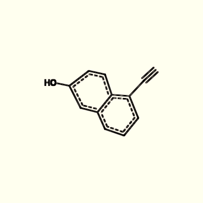 C#Cc1cccc2cc(O)ccc12